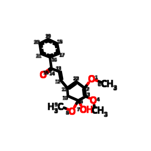 COC1=C(OC)C(O)(OC)CC(C=CC(=O)c2ccccc2)=C1